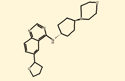 c1nc(N[C@H]2CC[C@H](N3CCOCC3)CC2)c2cc(C3CCCO3)ccc2n1